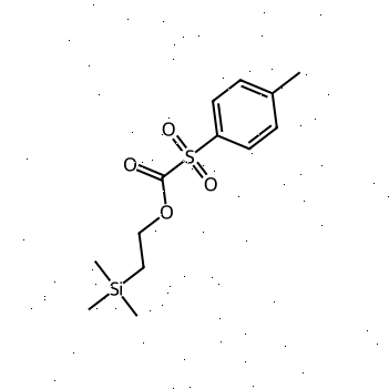 Cc1ccc(S(=O)(=O)C(=O)OCC[Si](C)(C)C)cc1